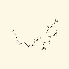 C=C/C=C\C/C=C\C=C/C(C)Sc1ccc(C(C)(C)C)cc1